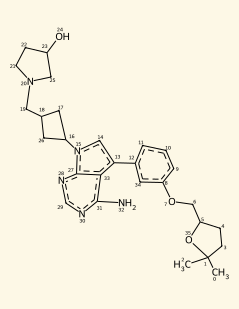 CC1(C)CCC(COc2cccc(-c3cn(C4CC(CN5CCC(O)C5)C4)c4ncnc(N)c34)c2)O1